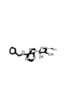 OC[C@H]1O[C@@H](n2cnc3c(NCC4CCCCC4)ncnc32)[C@@H](O)C1O